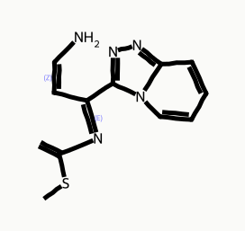 C=C(/N=C(\C=C/N)c1nnc2ccccn12)SC